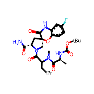 CC(C)CC(C(=O)N1C[C@@]2(C[C@H]1C(N)=O)Oc1ccc(F)cc1NC2=O)N(C)C(=O)[C@H](C)NC(=O)OC(C)(C)C